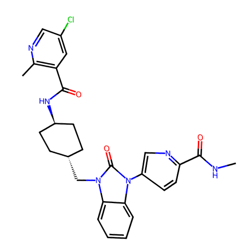 CNC(=O)c1ccc(-n2c(=O)n(C[C@H]3CC[C@H](NC(=O)c4cc(Cl)cnc4C)CC3)c3ccccc32)cn1